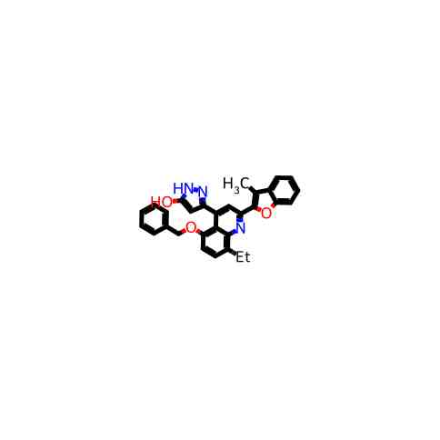 CCc1ccc(OCc2ccccc2)c2c(-c3cc(O)[nH]n3)cc(-c3oc4ccccc4c3C)nc12